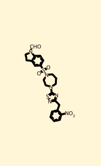 O=CN1CCc2cc(S(=O)(=O)N3CCCN(c4nc(Cc5ccccc5[N+](=O)[O-])ns4)CC3)ccc21